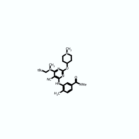 CNC(=O)c1ccc(C)c(Nc2nc(OC3CCN(C)CC3)nc(N(C)CC(C)(C)C)c2C#N)c1